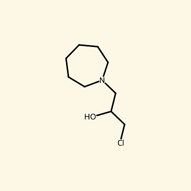 OC(CCl)CN1CCCCCC1